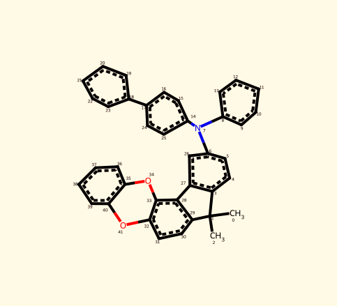 CC1(C)c2ccc(N(c3ccccc3)c3ccc(-c4ccccc4)cc3)cc2-c2c1ccc1c2Oc2ccccc2O1